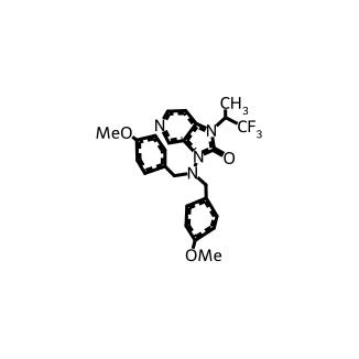 COc1ccc(CN(Cc2ccc(OC)cc2)n2c(=O)n(C(C)C(F)(F)F)c3ccncc32)cc1